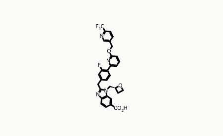 O=C(O)c1ccc2nc(Cc3ccc(-c4cccc(OCc5ccc(C(F)(F)F)nc5)n4)c(F)c3)n(C[C@@H]3CCO3)c2c1